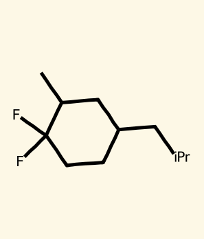 CC(C)CC1CCC(F)(F)C(C)C1